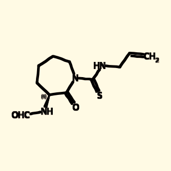 C=CCNC(=S)N1CCCC[C@H](NC=O)C1=O